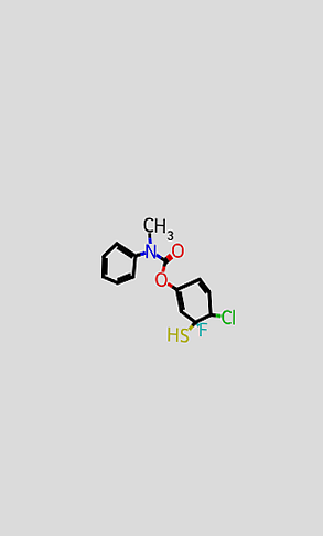 CN(C(=O)OC1=CC(F)(S)C(Cl)C=C1)c1ccccc1